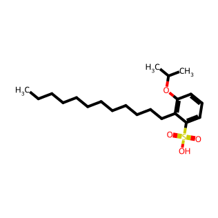 CCCCCCCCCCCCc1c(OC(C)C)cccc1S(=O)(=O)O